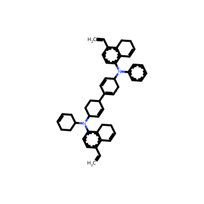 C=Cc1ccc(N(C2C=CC(C3=CCC(N(c4ccccc4)c4ccc(C=C)c5c4C=CCC5)C=C3)CC2)C2CC=CCC2)c2c1C=CCC2